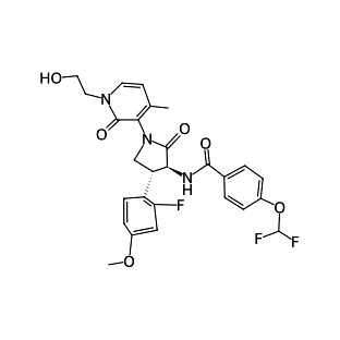 COc1ccc([C@@H]2CN(c3c(C)ccn(CCO)c3=O)C(=O)[C@H]2NC(=O)c2ccc(OC(F)F)cc2)c(F)c1